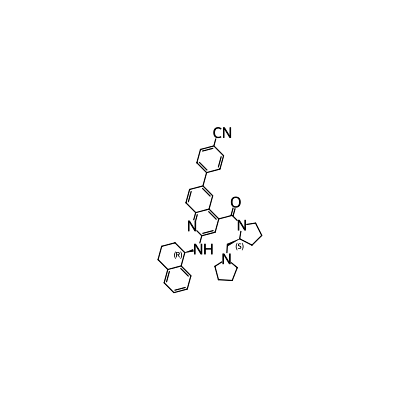 N#Cc1ccc(-c2ccc3nc(N[C@@H]4CCCc5ccccc54)cc(C(=O)N4CCC[C@H]4CN4CCCC4)c3c2)cc1